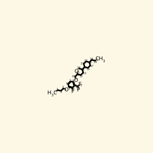 CCCCOc1ccc(OCC2CCC(C3CCC(CCC)CC3)CO2)c(C(F)F)c1F